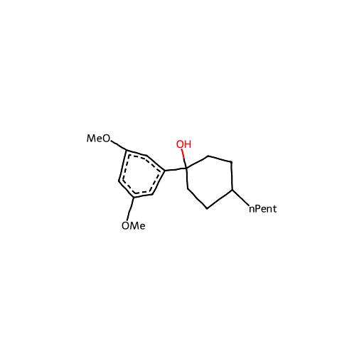 CCCCCC1CCC(O)(c2cc(OC)cc(OC)c2)CC1